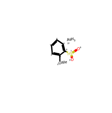 COc1ccccc1[SH](=O)=O.[AsH3]